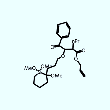 C=CCOC(=O)C(CCC)C(OCCCC1(OC)CCCC[Si]1(OC)OC)C(=O)c1ccccc1